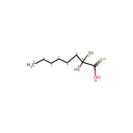 CCCCCCC(S)(S)C(O)=S